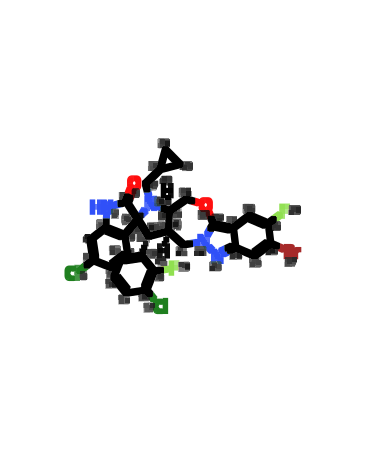 O=C1Nc2cc(Cl)ccc2[C@@]12[C@@H](c1cccc(Cl)c1F)[C@@H]1Cn3nc4cc(Br)c(F)cc4c3OC[C@@H]1N2CC1CC1